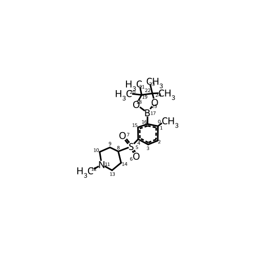 Cc1ccc(S(=O)(=O)C2CCN(C)CC2)cc1B1OC(C)(C)C(C)(C)O1